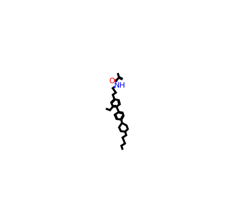 C=C(C)C(=O)NCCCc1ccc(-c2ccc(C3CCC(CCCCC)CC3)cc2)c(CC)c1